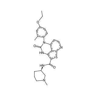 CCOc1ccc(N2C(=O)Nc3c(C(=O)N[C@@H]4CCCN(C)C4)sc4nccc2c34)c(C)c1